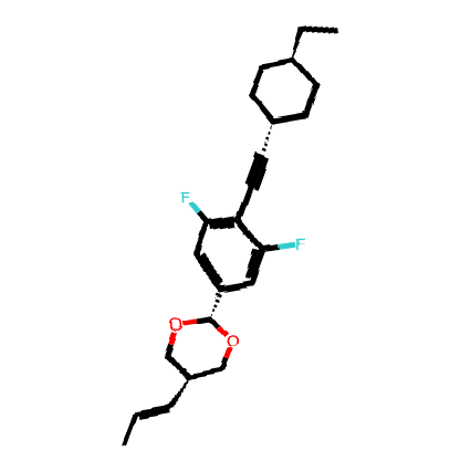 CC=C[C@H]1CO[C@H](c2cc(F)c(C#C[C@H]3CC[C@H](CC)CC3)c(F)c2)OC1